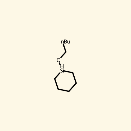 CCCCCO[SiH]1CCCCC1